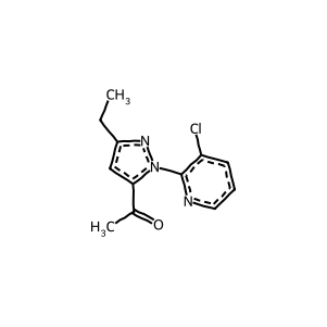 CCc1cc(C(C)=O)n(-c2ncccc2Cl)n1